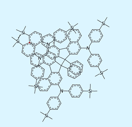 C[Si](C)(C)c1ccc(N(c2ccc([Si](C)(C)C)cc2)c2cc3c(c4ccccc24)-c2c(cc(N(c4ccc([Si](C)(C)C)cc4)c4ccc([Si](C)(C)C)cc4)c4ccccc24)C3(c2ccccc2)C2(c3ccccc3)c3cc(N(c4ccc([Si](C)(C)C)cc4)c4ccc([Si](C)(C)C)cc4)c4ccccc4c3-c3c2cc(N(c2ccc([Si](C)(C)C)cc2)c2ccc([Si](C)(C)C)cc2)c2ccccc32)cc1